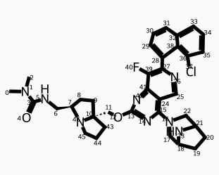 CN(C)C(=O)NC[C@H]1CC[C@@]2(COc3nc(N4CC5CCC(C4)N5)c4cnc(-c5cccc6cccc(Cl)c56)c(F)c4n3)CCCN12